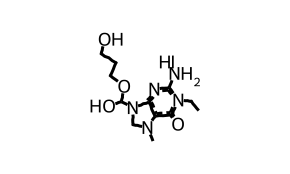 CCn1c(N)nc2c(c1=O)N(C)CN2C(O)OCCCO.I